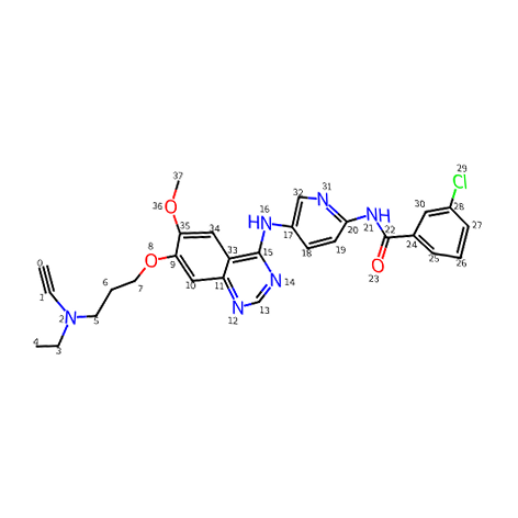 C#CN(CC)CCCOc1cc2ncnc(Nc3ccc(NC(=O)c4cccc(Cl)c4)nc3)c2cc1OC